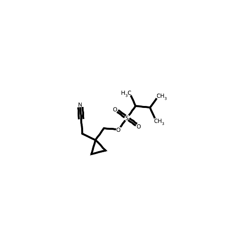 CC(C)C(C)S(=O)(=O)OCC1(CC#N)CC1